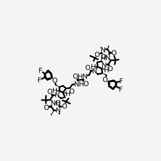 C[C@@H](C(=O)N[C@H](C(=O)N1CC[C@@H]2[C@H]1[C@@H](COc1ccc(F)c(F)c1)CN2C(=O)CNC(=O)C(=O)NCC(=O)C1C[C@H](COc2ccc(F)c(F)c2)[C@@H]2[C@H]1CCN2C(=O)[C@@H](NC(=O)[C@H](C)N(C)C(=O)OC(C)(C)C)C(C)(C)C)C(C)(C)C)N(C)C(=O)OC(C)(C)C